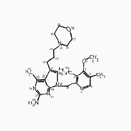 COc1c(C)cnc(Cn2cc(CCCN3CCOCC3)c3c(C)nc(N)nc32)c1C